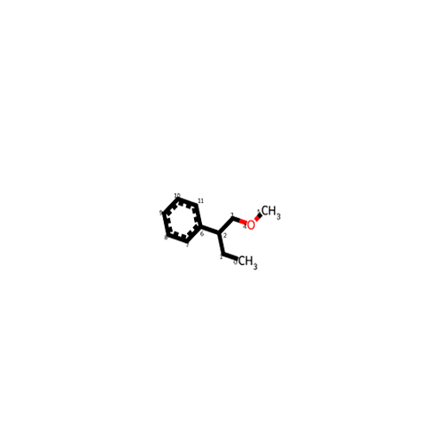 CCC(COC)c1ccccc1